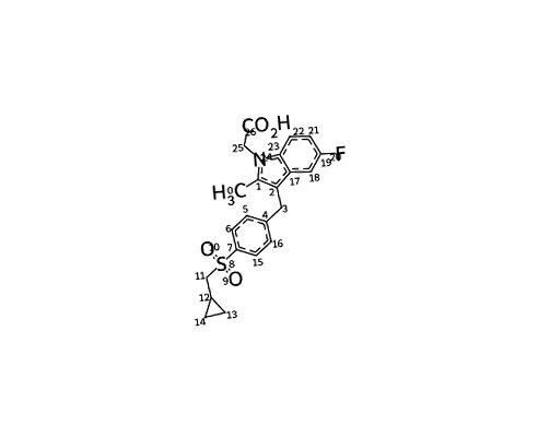 Cc1c(Cc2ccc(S(=O)(=O)CC3CC3)cc2)c2cc(F)ccc2n1CC(=O)O